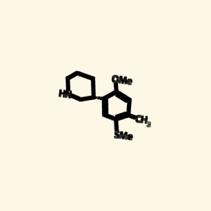 COc1cc(C)c(SC)cc1[C@H]1CCCNC1